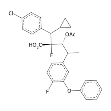 CC(=O)O[C@H](C(C)c1ccc(F)c(Oc2ccccc2)c1)[C@@](F)(C(=O)O)C(c1ccc(Cl)cc1)C1CC1